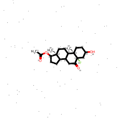 CC(=O)OC1CCC2C3CC(=O)[C@@]4(F)CC(O)CC[C@]4(C)C3CC[C@]12C